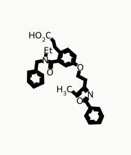 CCN(Cc1ccccc1)C(=O)c1cc(OCCc2nc(-c3ccccc3)oc2C)ccc1CCC(=O)O